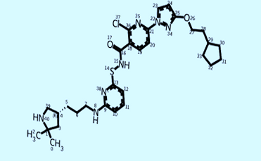 CC1(C)C[C@@H](CCCNc2cccc(SNC(=O)c3ccc(-n4ccc(OCCC5CCCC5)n4)nc3Cl)n2)CN1